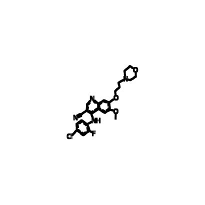 COc1cc2c(Nc3ccc(Cl)cc3F)c(C#N)cnc2cc1OCCCN1CCOCC1